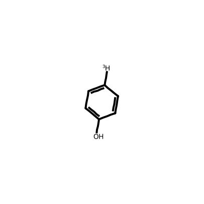 [3H]c1ccc(O)cc1